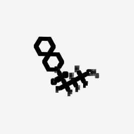 CC(F)(F)C(F)(F)C(F)(F)S(=O)(=O)N1CCC2(CCCCC2)CC1